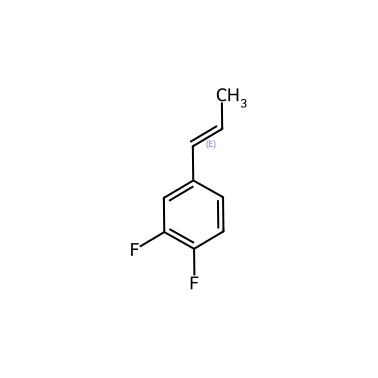 C/C=C/c1ccc(F)c(F)c1